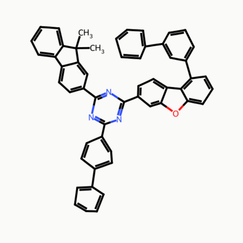 CC1(C)c2ccccc2-c2ccc(-c3nc(-c4ccc(-c5ccccc5)cc4)nc(-c4ccc5c(c4)oc4cccc(-c6cccc(-c7ccccc7)c6)c45)n3)cc21